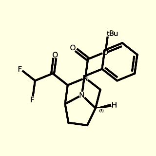 CC(C)(C)OC(=O)N1C[C@@H]2CCC(C1C(=O)C(F)F)N2Cc1ccccc1